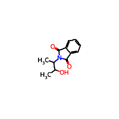 CC(O)C(C)N1C(=O)c2ccccc2C1=O